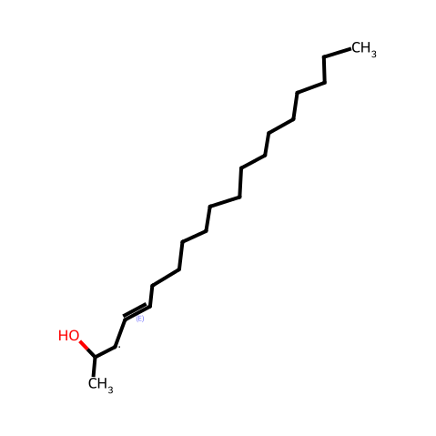 CCCCCCCCCCCCCC/C=C/[CH]C(C)O